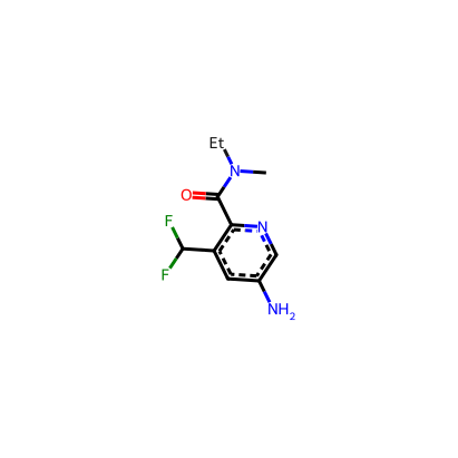 CCN(C)C(=O)c1ncc(N)cc1C(F)F